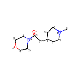 CN1CCC(CC(=O)N2CCOCC2)CC1